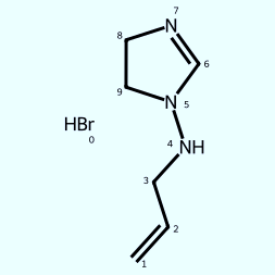 Br.C=CCNN1C=NCC1